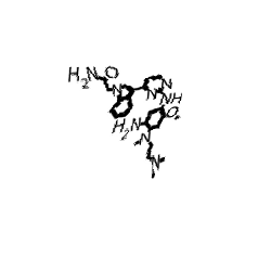 COc1cc(N(C)CCN(C)C)c(N)cc1Nc1nccc(-c2cn(CC(N)=O)c3ccccc23)n1